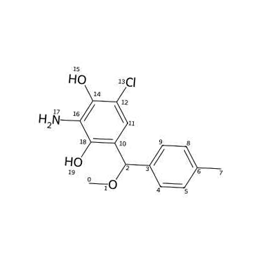 COC(c1ccc(C)cc1)c1cc(Cl)c(O)c(N)c1O